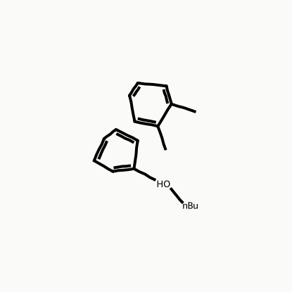 CCCCO.Cc1ccccc1.Cc1ccccc1C